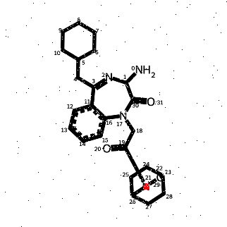 NC1N=C(CC2CCCCC2)c2ccccc2N(CC(=O)N2CC3CCC(CC3)C2)C1=O